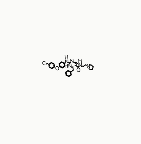 N#C/N=C(/Nc1ccc(Oc2ccc(Cl)cc2)cc1)N[C@H](CC(=O)NCCN1CCCC1)Cc1ccccc1